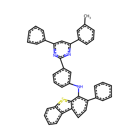 Cc1cccc(-c2cc(-c3ccccc3)nc(-c3cccc(Nc4c(-c5ccccc5)ccc5c4sc4ccccc45)c3)n2)c1